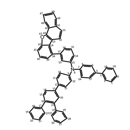 c1ccc(-c2ccc(N(c3ccc(-c4ccc(-c5ccccc5)c(-c5ccccc5)c4)cc3)c3cccc(-c4cccc5oc6c7ccccc7ccc6c45)c3)cc2)cc1